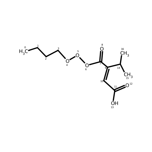 CCCCOOOC(=O)C(=CC(=O)O)C(C)C